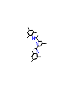 CC(=Nc1c(C)cc(C)cc1C)c1cc(C)cc(C(C)=Nc2c(C)cc(C)cc2C)n1